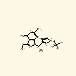 Cc1nc2c(c(CO)nn2[C@@H](C)c2ncn(CC(F)(F)F)n2)c(=O)[nH]1